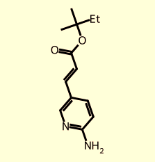 CCC(C)(C)OC(=O)/C=C/c1ccc(N)nc1